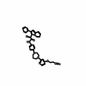 COCCOc1ccnc(N2CCCN(c3ccc(NC(=O)C(=O)c4c(-c5ccccc5)cc5ccccn45)cc3)CC2)c1